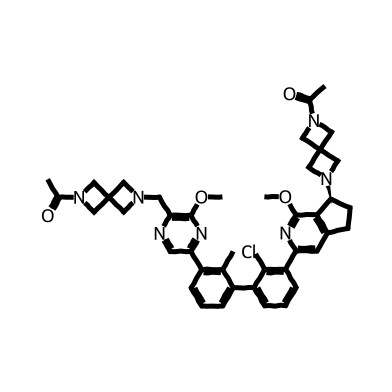 COc1nc(-c2cccc(-c3cccc(-c4cc5c(c(OC)n4)[C@@H](N4CC6(CN(C(C)=O)C6)C4)CC5)c3Cl)c2C)cnc1CN1CC2(C1)CN(C(C)=O)C2